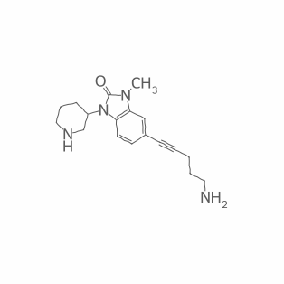 Cn1c(=O)n(C2CCCNC2)c2ccc(C#CCCCN)cc21